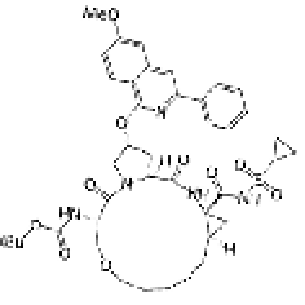 COc1ccc2c(O[C@@H]3C[C@H]4C(=O)N[C@]5(C(=O)NS(=O)(=O)C6CC6)C[C@H]5CCCCCOC[C@H](NC(=O)OC(C)(C)C)C(=O)N4C3)nc(-c3ccccc3)cc2c1